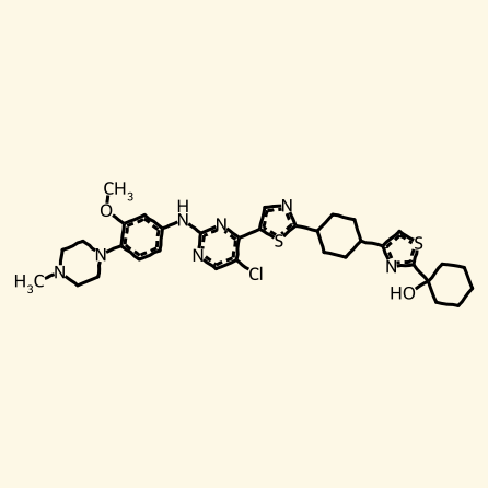 COc1cc(Nc2ncc(Cl)c(-c3cnc(C4CCC(c5csc(C6(O)CCCCC6)n5)CC4)s3)n2)ccc1N1CCN(C)CC1